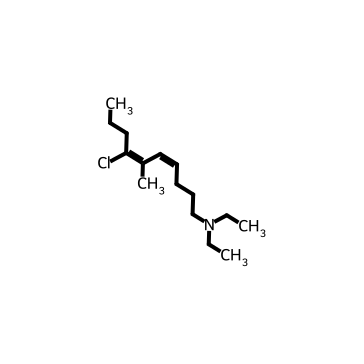 CCC/C(Cl)=C(C)\C=C/CCCN(CC)CC